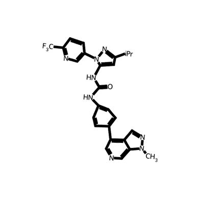 CC(C)c1cc(NC(=O)Nc2ccc(-c3cncc4c3cnn4C)cc2)n(-c2ccc(C(F)(F)F)nc2)n1